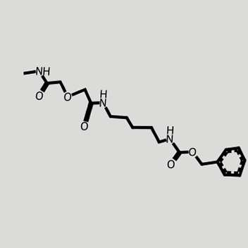 CNC(=O)COCC(=O)NCCCCCNC(=O)OCc1ccccc1